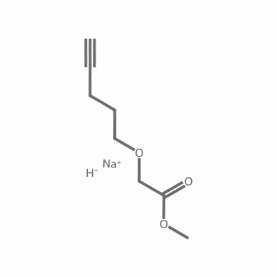 C#CCCCOCC(=O)OC.[H-].[Na+]